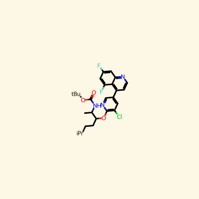 CC(C)CCC(Oc1ncc(-c2ccnc3cc(F)cc(F)c23)cc1Cl)C(C)NC(=O)OC(C)(C)C